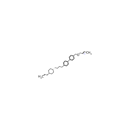 C=CC[C@H]1CC[C@H](CCCCc2ccc(-c3ccc(COC/C=C/C)cc3)cc2)CC1